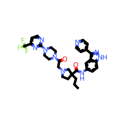 CCCC1(C(=O)Nc2ccc3[nH]nc(-c4ccncc4)c3c2)CCN(CC(=O)N2CCN(c3nccc(C(F)(F)F)n3)CC2)C1